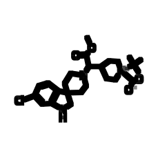 COC(=O)C(C1CC[N+](C(=O)[O-])(C(C)(C)C)CC1)N1CCC2(CC1)CNc1cc(Cl)ccc12